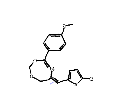 COc1ccc(C2=N/C(=C\c3ccc(Cl)s3)COCO2)cc1